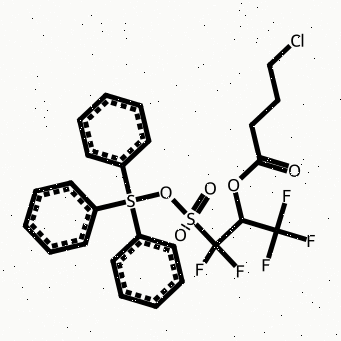 O=C(CCCCl)OC(C(F)(F)F)C(F)(F)S(=O)(=O)OS(c1ccccc1)(c1ccccc1)c1ccccc1